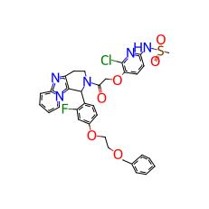 CS(=O)(=O)Nc1ccc(OCC(=O)N2CCc3nc4ccccn4c3C2c2ccc(OCCOCc3ccccc3)cc2F)c(Cl)n1